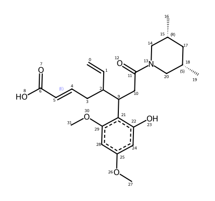 C=CC(C/C=C/C(=O)O)C(CC(=O)N1C[C@H](C)C[C@H](C)C1)c1c(O)cc(OC)cc1OC